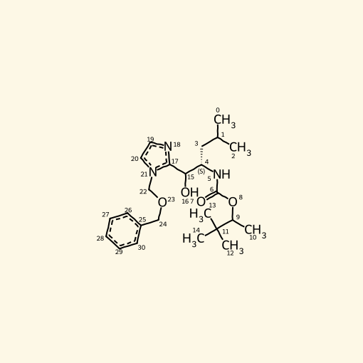 CC(C)C[C@H](NC(=O)OC(C)C(C)(C)C)C(O)c1nccn1COCc1ccccc1